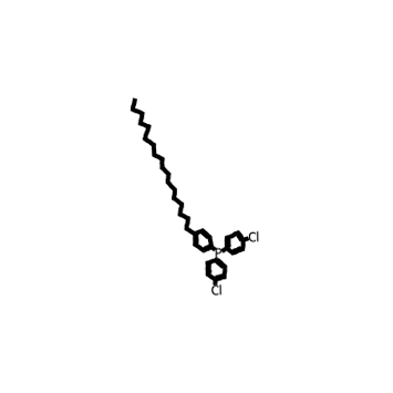 CCCCCCCCCCCCCCCCCCc1ccc(P(c2ccc(Cl)cc2)c2ccc(Cl)cc2)cc1